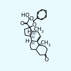 C[C@]12CC=C3[C@@H](CCC4CC(=O)CC[C@]34C)[C@@H]1CC[C@]2(OC(=O)c1ccccc1)C(=O)CO